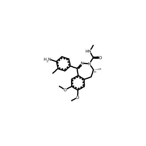 CNC(=O)N1N=C(c2ccc(N)c(C)c2)c2cc(OC)c(OC)cc2C[C@H]1C